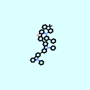 CC1(C)c2ccccc2-c2c(N(c3cccc(-c4ccccc4)c3)c3cccc4oc5ccc(-c6ccc7c(c6)c6cc(-c8ccc9c%10ccccc%10n(-c%10ccccc%10)c9c8)ccc6n7-c6ccccc6)cc5c34)cccc21